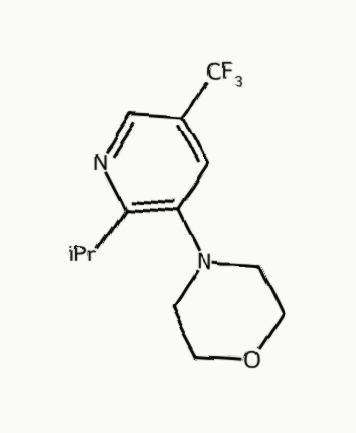 CC(C)c1ncc(C(F)(F)F)cc1N1CCOCC1